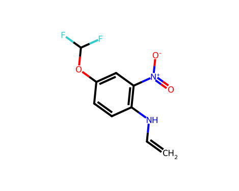 C=CNc1ccc(OC(F)F)cc1[N+](=O)[O-]